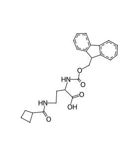 O=C(NC(CCNC(=O)C1CCC1)C(=O)O)OCC1c2ccccc2-c2ccccc21